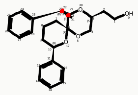 OCC[C@H]1CO[C@@]2(CCC[C@H](c3ccccc3)O2)[C@@]2(CCC[C@H](c3ccccc3)O2)O1